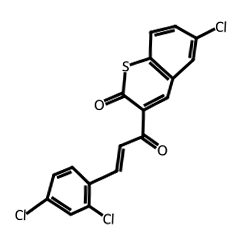 O=C(C=Cc1ccc(Cl)cc1Cl)c1cc2cc(Cl)ccc2sc1=O